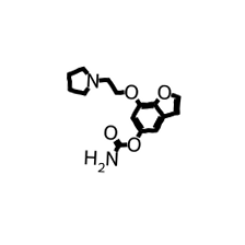 NC(=O)Oc1cc(OCCN2CCCC2)c2occc2c1